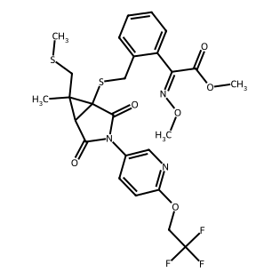 CON=C(C(=O)OC)c1ccccc1CSC12C(=O)N(c3ccc(OCC(F)(F)F)nc3)C(=O)C1C2(C)CSC